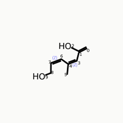 C=C(O)/C=C(C)\C=C/CO